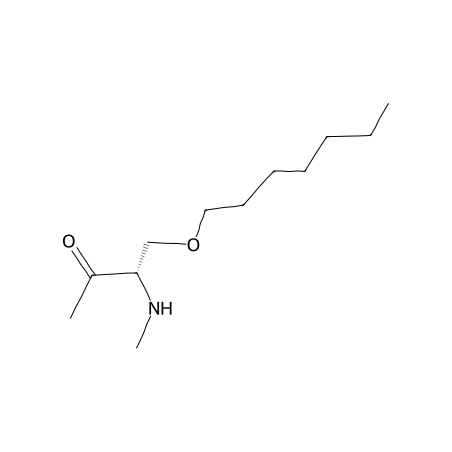 CCCCCCCOC[C@H](NC)C(C)=O